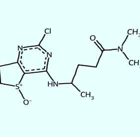 CC(CCC(=O)N(C)C)Nc1nc(Cl)nc2c1[S+]([O-])CC2